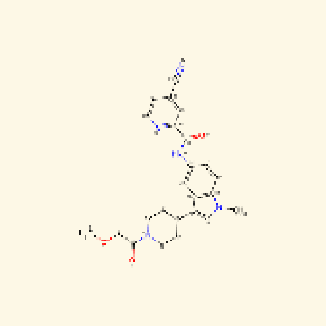 COCC(=O)N1CCC(c2cn(C)c3ccc(NC(=O)c4cc(C#N)ccn4)cc23)CC1